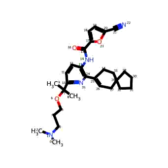 CN(C)CCCOC(C)(C)c1ccc(NC(=O)c2ccc(C#N)o2)c(C2=CCC3(CCCC3)CC2)n1